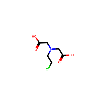 O=C(O)CN(CCCl)CC(=O)O